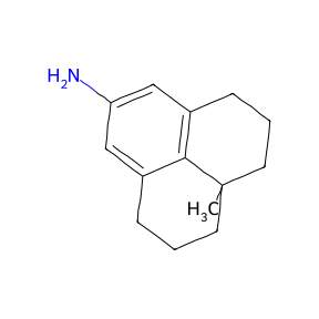 CC12CCCc3cc(N)cc(c31)CCC2